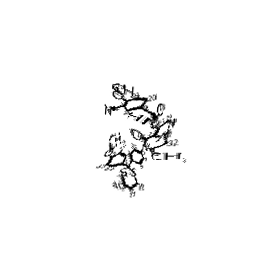 COc1ccc(C2(c3ccc(N4C(=O)c5c(NC(=O)c6ccc(OC)c(C#N)c6)cnn5C[C@@H]4C)cc3)SCCCS2)cc1